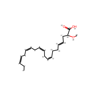 CC/C=C\C/C=C\C/C=C\C/C=C\CC/C=C/CC(OC)C(=O)O